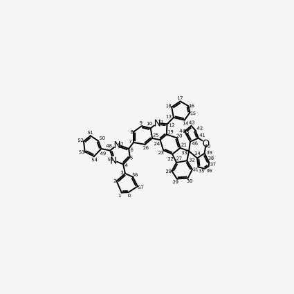 c1ccc(-c2cc(-c3ccc4nc(-c5ccccc5)c5cc6c(cc5c4c3)-c3ccccc3C63c4ccccc4Oc4ccccc43)nc(-c3ccccc3)n2)cc1